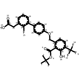 CC(C)(C)OC(=O)c1c(COc2ccc(-c3cccc(CC(=O)O)c3F)cc2)ccc(C(F)(F)F)c1O